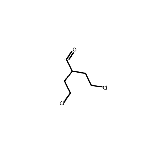 O=[C]C(CCCl)CCCl